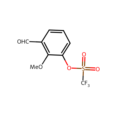 COc1c(C=O)cccc1OS(=O)(=O)C(F)(F)F